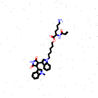 C=CC(=O)NC(CCCCN)C(=O)OCCCCCCn1cc(C2=C(c3cn(C)c4ccccc34)C(=O)NC2=O)c2ccccc21